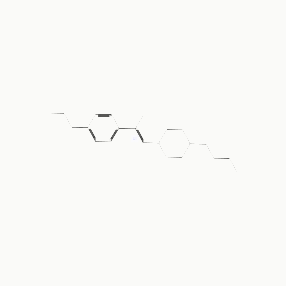 CCCCC1CCC(/C=C(\C)c2ccc(CCC)cc2)CC1